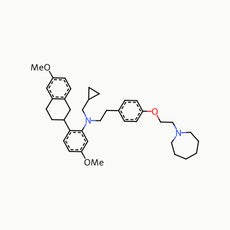 COc1ccc2c(c1)CCC(c1ccc(OC)cc1N(CCc1ccc(OCCN3CCCCCC3)cc1)CC1CC1)C2